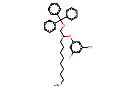 CCCCCCCCCCCCCCCCCC[C@@H](COC(c1ccccc1)(c1ccccc1)c1ccccc1)Oc1cc(F)cc(C#N)c1